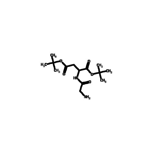 CC(C)(C)OC(=O)CC(NC(=O)CN)C(=O)OC(C)(C)C